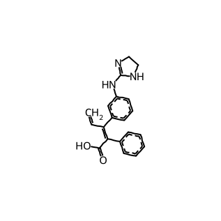 C=CC(=C(C(=O)O)c1ccccc1)c1cccc(NC2=NCCN2)c1